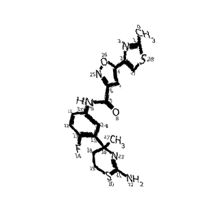 Cc1nc(-c2cc(C(=O)Nc3ccc(F)c(C4(C)CCSC(N)=N4)c3)no2)cs1